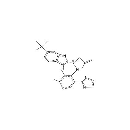 C=C1C[C@@H](c2nc3cc(C(C)(C)C)ccc3[nH]2)N(c2c(-n3nccn3)[c]cc(C)c2C)C1